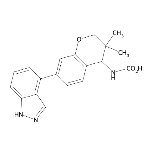 CC1(C)COc2cc(-c3cccc4[nH]ncc34)ccc2C1NC(=O)O